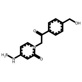 BNc1ccn(CC(=O)c2ccc(CO)cc2)c(=O)c1